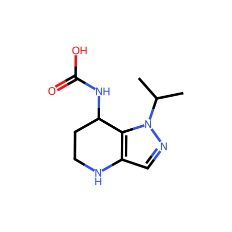 CC(C)n1ncc2c1C(NC(=O)O)CCN2